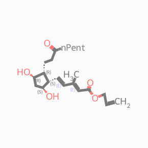 C=CCOC(=O)/C=C(C)/C=C/[C@H]1[C@@H](CCC(=O)CCCCC)[C@H](O)C[C@@H]1O